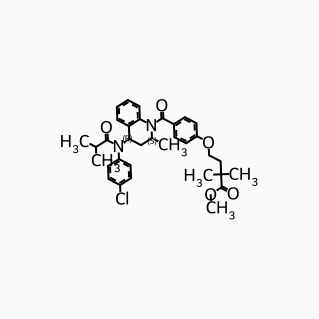 COC(=O)C(C)(C)CCOc1ccc(C(=O)N2c3ccccc3[C@H](N(C(=O)C(C)C)c3ccc(Cl)cc3)C[C@@H]2C)cc1